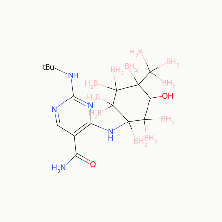 BC(B)(B)C1(B)C(O)C(B)(B)C(B)(Nc2nc(NC(C)(C)C)ncc2C(N)=O)C(B)(B)C1(B)B